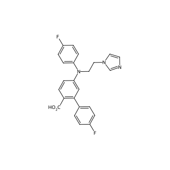 O=C(O)c1ccc(N(CCn2ccnc2)c2ccc(F)cc2)cc1-c1ccc(F)cc1